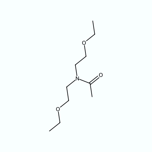 CCOCCN(CCOCC)C(C)=O